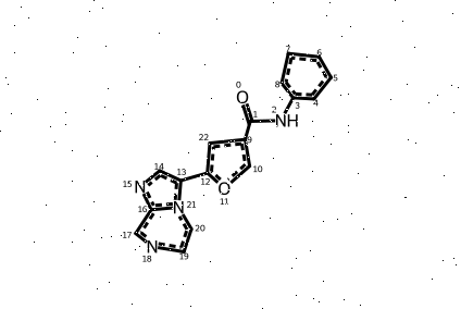 O=C(Nc1ccccc1)c1coc(-c2cnc3cnccn23)c1